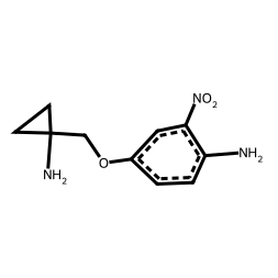 Nc1ccc(OCC2(N)CC2)cc1[N+](=O)[O-]